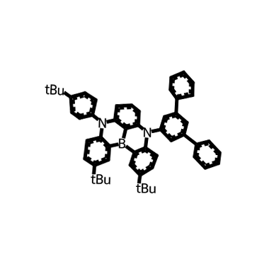 CC(C)(C)c1ccc(N2c3ccc(C(C)(C)C)cc3B3c4cc(C(C)(C)C)ccc4N(c4cc(-c5ccccc5)cc(-c5ccccc5)c4)c4cccc2c43)cc1